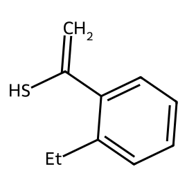 C=C(S)c1ccccc1CC